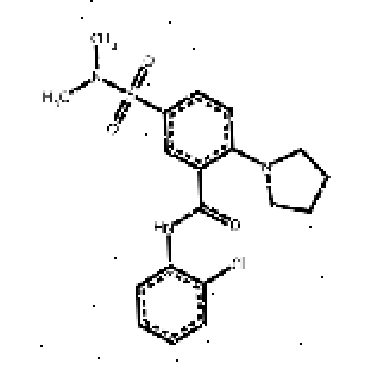 CN(C)S(=O)(=O)c1ccc(N2CCCC2)c(C(=O)Nc2ccccc2Cl)c1